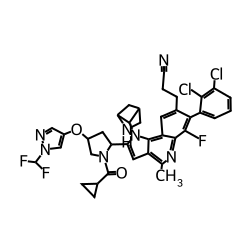 Cc1nc2c(F)c(-c3cccc(Cl)c3Cl)c(CCC#N)cc2c2c1cc(C1CC(Oc3cnn(C(F)F)c3)CN1C(=O)C1CC1)n2C1C2CNC1C2